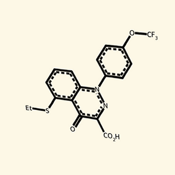 CCSc1cccc2c1c(=O)c(C(=O)O)nn2-c1ccc(OC(F)(F)F)cc1